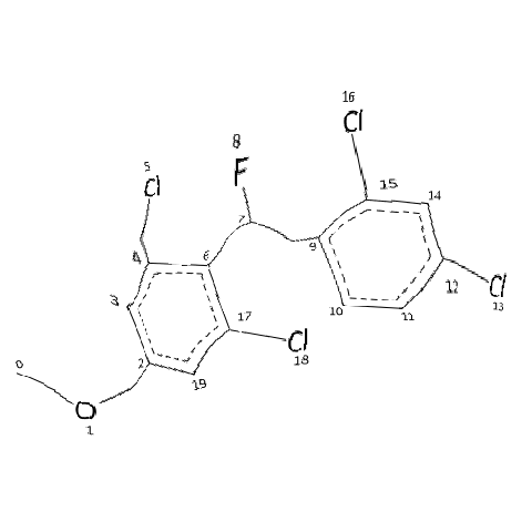 COc1cc(Cl)c(C(F)c2ccc(Cl)cc2Cl)c(Cl)c1